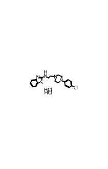 Cl.Cl.Clc1ccc(N2CCN(CCNc3nc4ccccc4s3)CC2)cc1